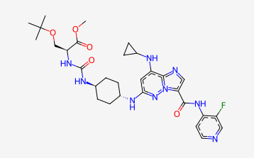 COC(=O)[C@H](COC(C)(C)C)NC(=O)N[C@H]1CC[C@H](Nc2cc(NC3CC3)c3ncc(C(=O)Nc4ccncc4F)n3n2)CC1